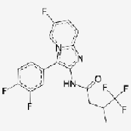 CC(CC(=O)Nc1nc2ccc(F)cn2c1-c1ccc(F)c(F)c1)C(F)(F)F